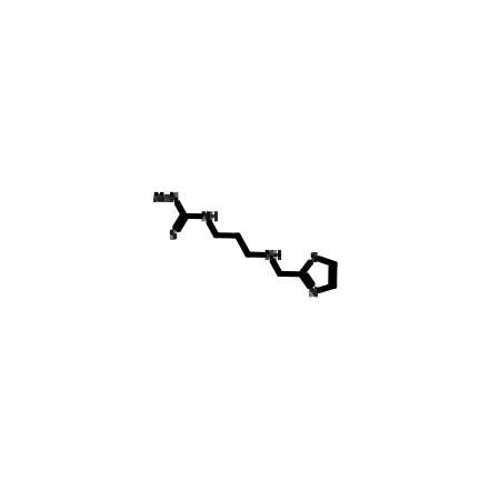 CNC(=S)NCCCNCc1nccs1